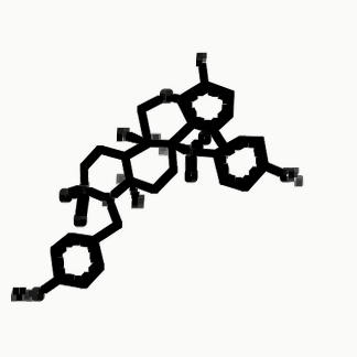 COc1ccc(CN2[C@@H]3CC[C@@]4(S(=O)(=O)c5ccc(C(F)(F)F)cc5)c5c(F)ccc(F)c5OC[C@H]4C3CCS2(=O)=O)cc1